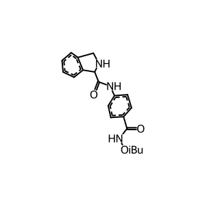 CC(C)CONC(=O)c1ccc(NC(=O)C2NCc3ccccc32)cc1